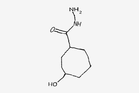 NNC(=O)C1CCCC(O)C1